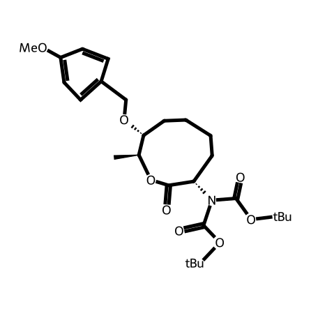 COc1ccc(CO[C@@H]2CCCC[C@H](N(C(=O)OC(C)(C)C)C(=O)OC(C)(C)C)C(=O)O[C@H]2C)cc1